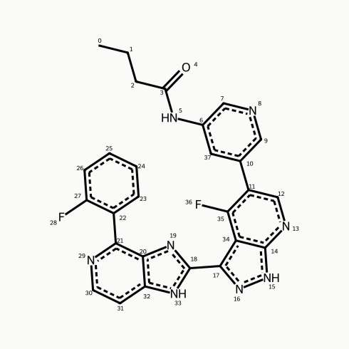 CCCC(=O)Nc1cncc(-c2cnc3[nH]nc(-c4nc5c(-c6ccccc6F)nccc5[nH]4)c3c2F)c1